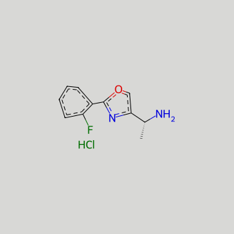 C[C@@H](N)c1coc(-c2ccccc2F)n1.Cl